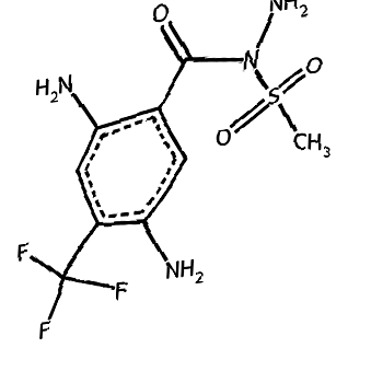 CS(=O)(=O)N(N)C(=O)c1cc(N)c(C(F)(F)F)cc1N